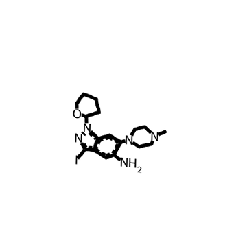 CN1CCN(c2cc3c(cc2N)c(I)nn3C2CCCCO2)CC1